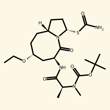 CCO[C@@H]1CC[C@@H]2CC[C@H](SC(N)=O)N2C(=O)[C@@H](NC(=O)[C@H](C)N(C)C(=O)OC(C)(C)C)C1